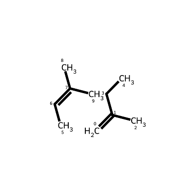 C=C(C)CC.CC=C(C)C